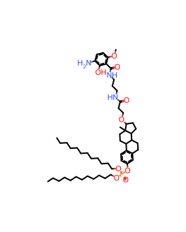 CCCCCCCCCCCCOP(=O)(OCCCCCCCCCCCC)Oc1ccc2c(c1)CCC1C2CCC2(C)C(OCCC(=O)NCCCNC(=O)c3c(OC)ccc(N)c3O)CCC12